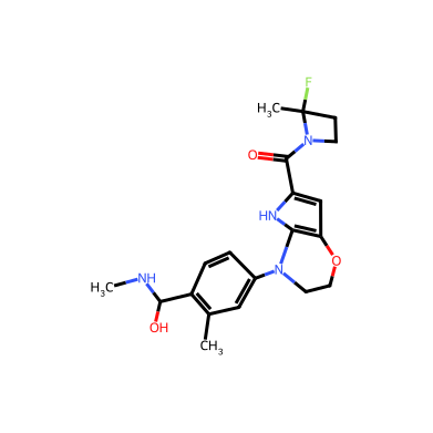 CNC(O)c1ccc(N2CCOc3cc(C(=O)N4CCC4(C)F)[nH]c32)cc1C